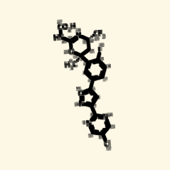 C[C@@]1(c2cc(-c3cc(-c4ncc(Cl)cn4)no3)ccc2F)C[C@@H](C(F)(F)F)N=C(NC(=O)O)O1